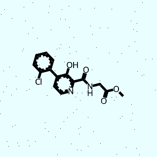 COC(=O)CNC(=O)c1nccc(-c2ccccc2Cl)c1O